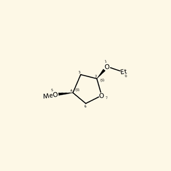 CCO[C@@H]1C[C@H](OC)CO1